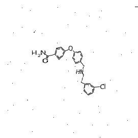 NC(=O)c1ccc(Oc2ccc(CNCCc3cccc(Cl)c3)cc2)cc1